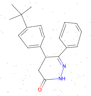 CC(C)(C)c1ccc(C2CC(=O)NN=C2c2ccccc2)cc1